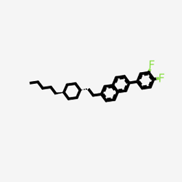 CCCCC[C@H]1CC[C@H](CCc2ccc3cc(-c4ccc(F)c(F)c4)ccc3c2)CC1